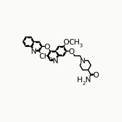 COc1cc2c(Oc3cc4ccccc4nc3C)ccnc2cc1OCCN1CCC(C(N)=O)CC1